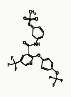 CS(=O)(=O)N=C1C=CC=C(NC(=O)c2cc(C(F)(F)F)cnc2Oc2ccc(OC(F)(F)F)cc2)C1